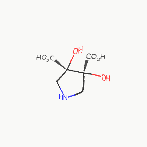 O=C(O)[C@]1(O)CNC[C@]1(O)C(=O)O